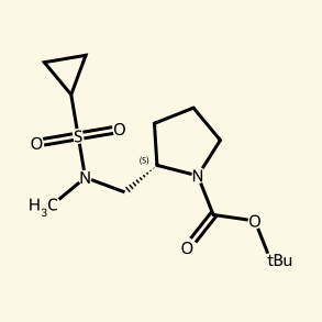 CN(C[C@@H]1CCCN1C(=O)OC(C)(C)C)S(=O)(=O)C1CC1